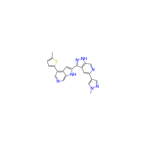 Cc1ccc(-c2cncc3[nH]c(-c4n[nH]c5cnc(-c6cnn(C)c6)cc45)cc23)s1